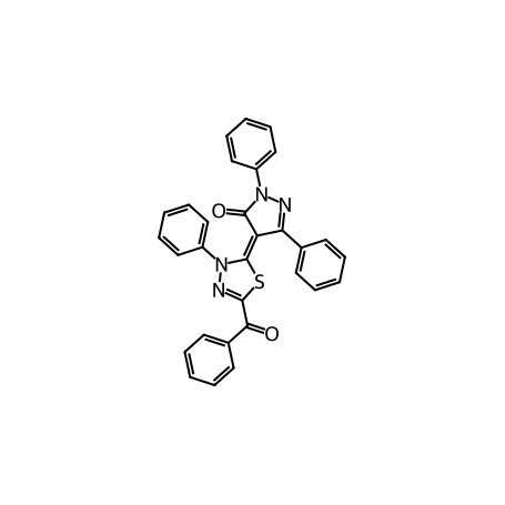 O=C(C1=NN(c2ccccc2)C(=C2C(=O)N(c3ccccc3)N=C2c2ccccc2)S1)c1ccccc1